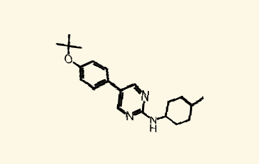 CC1CCC(Nc2ncc(-c3ccc(OC(C)(C)C)cc3)cn2)CC1